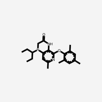 CCC(CC)N1CC(=O)Nc2c1cc(C)nc2Oc1c(C)cc(C)cc1C